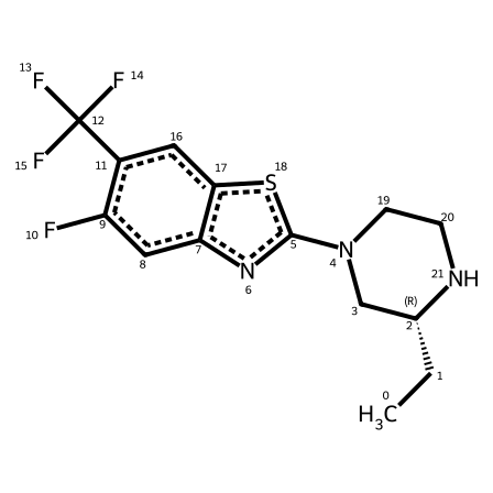 CC[C@@H]1CN(c2nc3cc(F)c(C(F)(F)F)cc3s2)CCN1